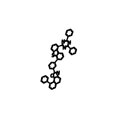 c1ccc(-c2nc(-c3ccccc3)nc(-c3cccc4sc5c(-c6cccc(-c7nc8ccc9cccc(-c%10ccccc%10)c9c8o7)c6)cccc5c34)n2)cc1